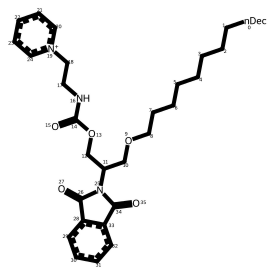 CCCCCCCCCCCCCCCCCCOCC(COC(=O)NCC[n+]1ccccc1)N1C(=O)c2ccccc2C1=O